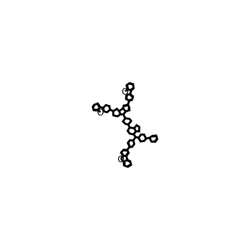 C1=CCC(C2CCC(C(C3CC=C(c4ccc5oc6ccccc6c5c4)CC3)C3CCC(C4CCC(C5C6C=CC(c7ccc8c(c7)oc7ccccc78)=CC6C6CC(C7CCC8c9ccccc9OC8C7)CCC65)CC4)C4CCCC43)CC2)C=C1